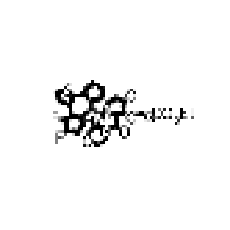 CCOC(=O)OCOc1c2n(ccc1=O)N([C@@H]1c3ccccc3-c3sccc3-c3c1ccc(F)c3F)[C@@H]1COCCN1C2=O